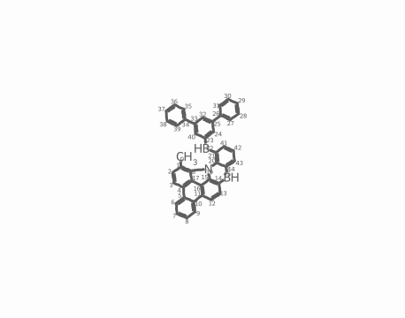 Cc1ccc2c3ccccc3c3ccc4c5c3c2c1n5-c1c(Bc2cc(-c3ccccc3)cc(-c3ccccc3)c2)cccc1B4